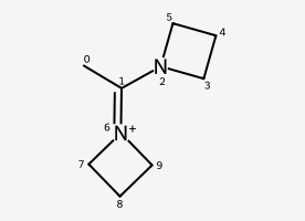 CC(N1CCC1)=[N+]1CCC1